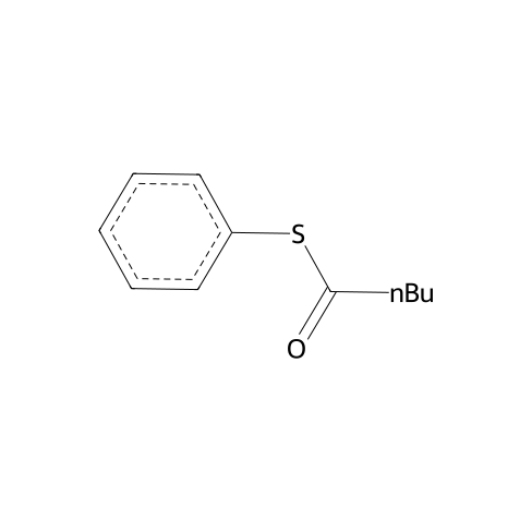 CCCCC(=O)Sc1ccccc1